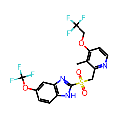 Cc1c(OCC(F)(F)F)ccnc1CS(=O)(=O)c1nc2cc(OC(F)(F)F)ccc2[nH]1